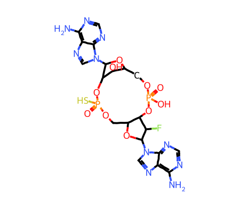 Nc1ncnc2c1ncn2C1OC2COP(=O)(S)OC3C(O)C(COP(=O)(O)OC2C1F)OC3n1cnc2c(N)ncnc21